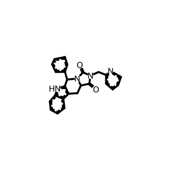 O=C1C2Cc3c([nH]c4ccccc34)C(c3ccccc3)N2C(=O)N1Cc1ccccn1